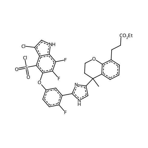 CCOC(=O)CCc1cccc2c1OCCC2(C)c1c[nH]c(-c2cc(Oc3c(F)c(F)c4[nH]cc(Cl)c4c3S(=O)(=O)Cl)ccc2F)n1